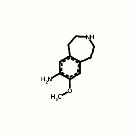 COc1cc2c(cc1N)CCNCC2